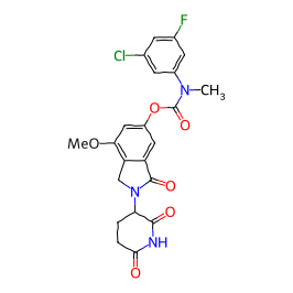 COc1cc(OC(=O)N(C)c2cc(F)cc(Cl)c2)cc2c1CN(C1CCC(=O)NC1=O)C2=O